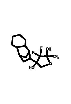 OC1(C2CC3CC2C2CCCCC32)COC(O)(C(F)(F)F)C1(F)F